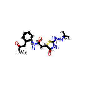 COC(=O)Cc1ccccc1NC(=O)CC1SC(NN=C(C)C)NC1=O